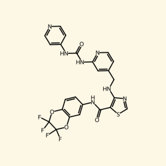 O=C(Nc1ccncc1)Nc1cc(CNc2ncsc2C(=O)Nc2ccc3c(c2)OC(F)(F)C(F)(F)O3)ccn1